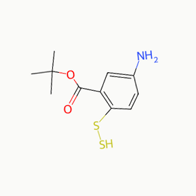 CC(C)(C)OC(=O)c1cc(N)ccc1SS